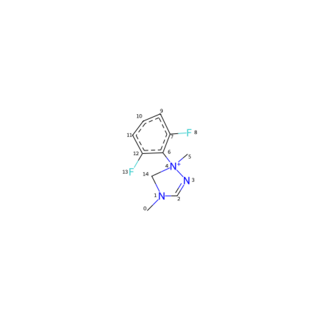 CN1C=N[N+](C)(c2c(F)cccc2F)C1